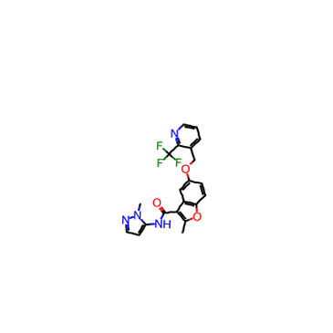 Cc1oc2ccc(OCc3cccnc3C(F)(F)F)cc2c1C(=O)Nc1ccnn1C